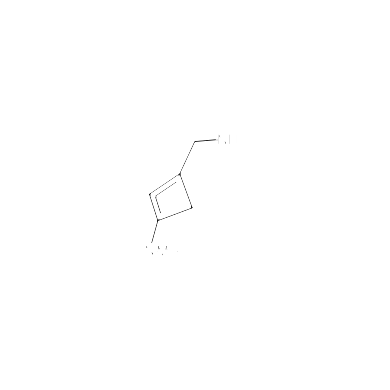 CNC1=C=C(CN)C1